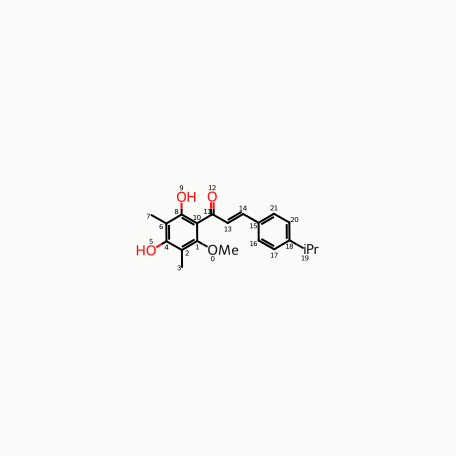 COc1c(C)c(O)c(C)c(O)c1C(=O)C=Cc1ccc(C(C)C)cc1